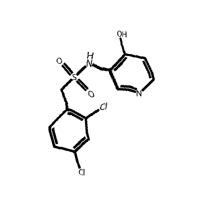 O=S(=O)(Cc1ccc(Cl)cc1Cl)Nc1cnccc1O